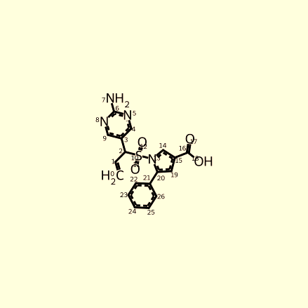 C=CC(c1cnc(N)nc1)S(=O)(=O)n1cc(C(=O)O)cc1-c1ccccc1